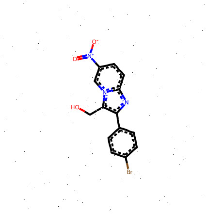 O=[N+]([O-])c1ccc2nc(-c3ccc(Br)cc3)c(CO)n2c1